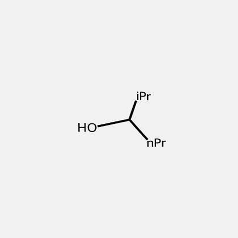 [CH2]CCC(O)C(C)C